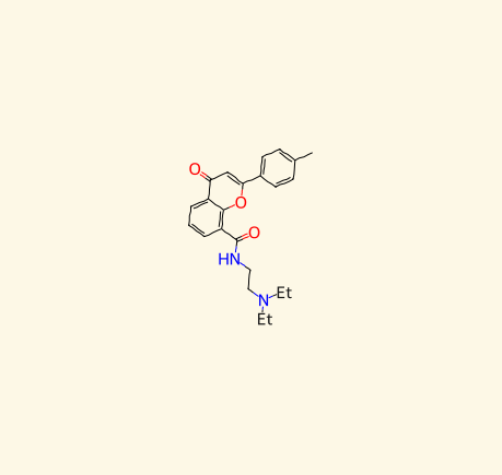 CCN(CC)CCNC(=O)c1cccc2c(=O)cc(-c3ccc(C)cc3)oc12